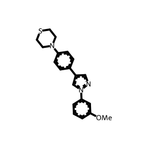 COc1cccc(-n2cc(-c3ccc(N4CCSCC4)cc3)cn2)c1